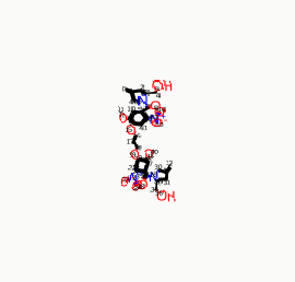 C=C1C[C@@H](CO)N(C(=O)c2cc(OC)c(OCCCOc3cc([N+](=O)[O-])c(C(=O)N4CC(=C)C[C@H]4CO)cc3OC)cc2[N+](=O)[O-])C1